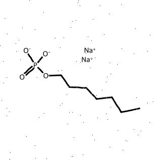 CCCCCCCOP(=O)([O-])[O-].[Na+].[Na+]